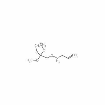 C=CC[SiH2]OCC(OC)(OC)OC